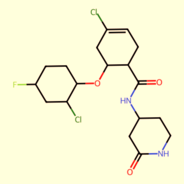 O=C1CC(NC(=O)C2CC=C(Cl)CC2OC2CCC(F)CC2Cl)CCN1